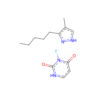 CCCCCc1n[nH]cc1C.O=c1cc[nH]c(=O)n1F